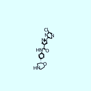 O=C(Nc1ccc([C@H]2CNCCO2)cc1)c1cnn(-c2cncc(Cl)n2)c1